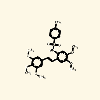 COc1cc(C=Cc2cc(OC)c(OC)c(OC)c2)c(NS(=O)(=O)c2ccc(C)cc2)cc1OC